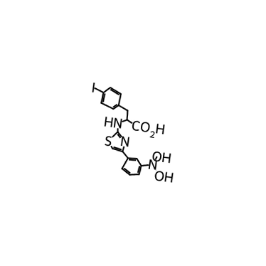 O=C(O)C(Cc1ccc(I)cc1)Nc1nc(-c2cccc(N(O)O)c2)cs1